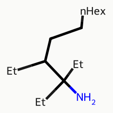 CCCCCCCCC(CC)C(N)(CC)CC